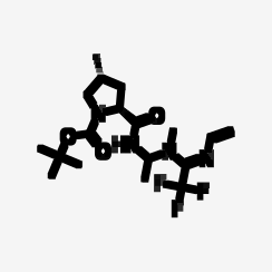 C=C/N=C(\N(C)C(C)NC(=O)[C@@H]1C[C@@H](C)CN1C(=O)OC(C)(C)C)C(F)(F)F